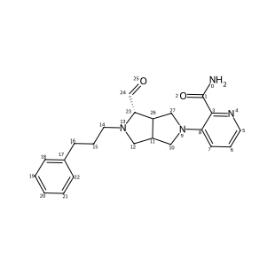 NC(=O)c1ncccc1N1CC2CN(CC[CH]c3ccccc3)[C@H](C=O)C2C1